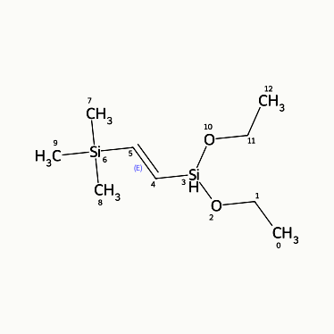 CCO[SiH](/C=C/[Si](C)(C)C)OCC